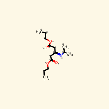 CCCOC(=O)CC(CC(=O)OCCC)=NC(C)C